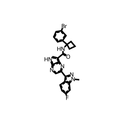 Cn1nc(-c2cnc3[nH]cc(C(=O)NC4(c5cccc(Br)c5)CCC4)c3n2)c2ccc(F)cc21